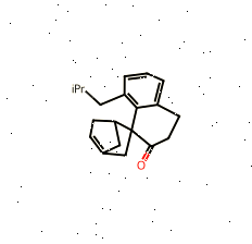 CC(C)Cc1cccc2c1C1(CC3=CCC1C3)C(=O)CC2